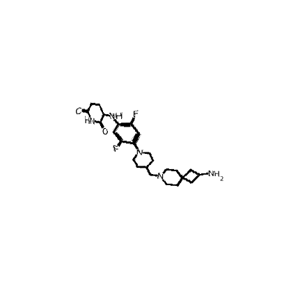 NC1CC2(CCN(CC3CCN(c4cc(F)c(NC5CCC(=O)NC5=O)cc4F)CC3)CC2)C1